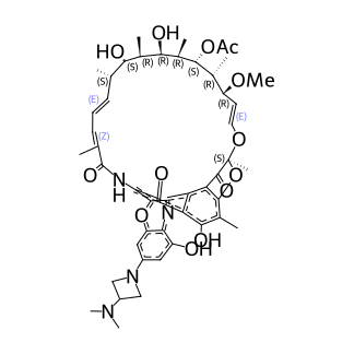 CO[C@H]1/C=C/O[C@@]2(C)Oc3c(C)c(O)c4c(=O)c(c5oc6cc(N7CC(N(C)C)C7)cc(O)c6nc-5c4c3C2=O)NC(=O)/C(C)=C\C=C\[C@H](C)[C@H](O)[C@@H](C)[C@@H](O)[C@@H](C)[C@H](OC(C)=O)[C@@H]1C